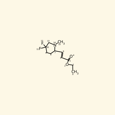 CCOC(=O)/C=C/C1CCC(F)(F)CN1C